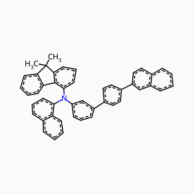 CC1(C)c2ccccc2-c2c(N(c3cccc(-c4ccc(-c5ccc6ccccc6c5)cc4)c3)c3cccc4ccccc34)cccc21